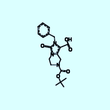 CC(C)(C)OC(=O)N1CCn2c(c(C(=O)O)n(Cc3ccccc3)c2=O)C1